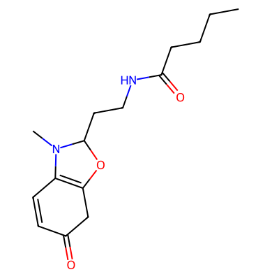 CCCCC(=O)NCCC1OC2=C(C=CC(=O)C2)N1C